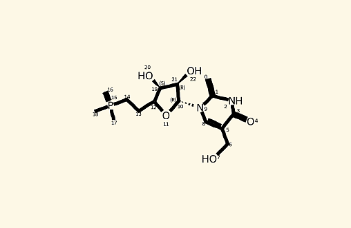 C=C1NC(=O)C(CO)=CN1[C@@H]1OC(CCP(=C)(C)C)[C@@H](O)[C@H]1O